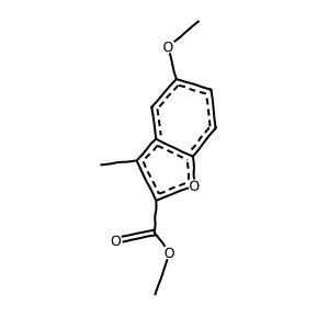 COC(=O)c1oc2ccc(OC)cc2c1C